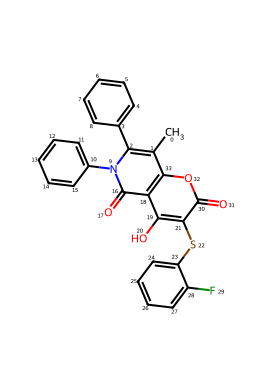 Cc1c(-c2ccccc2)n(-c2ccccc2)c(=O)c2c(O)c(Sc3ccccc3F)c(=O)oc12